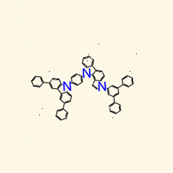 c1ccc(-c2cc(-c3ccccc3)cc(-n3ccc4c3ccc3c5ccccc5n(-c5ccc(-n6c7ccc(-c8ccccc8)cc7c7cc(-c8ccccc8)ccc76)cc5)c34)c2)cc1